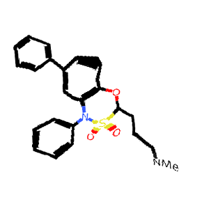 CNCCCC1Oc2ccc(-c3ccccc3)cc2N(c2ccccc2)S1(=O)=O